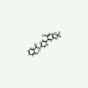 O=C(Nc1cnc(-c2cc3c(cc2Cl)OC(F)(F)O3)cn1)c1ccccc1F